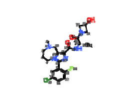 CN1CCCn2c(-c3cc(Cl)ccc3F)nc(C(=O)N[C@H](C(=O)N3CC(O)C3)C(C)(C)C)c2C1